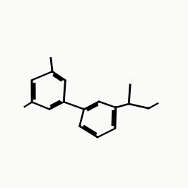 Cc1cc(C)cc(-c2cccc(C(N)CC(=O)O)c2)c1